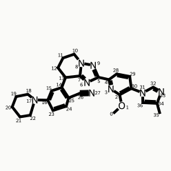 COc1nc(-c2nc3n(n2)CCCC3c2cc(N3CCCCC3)ccc2C#N)ccc1-n1cnc(C)c1